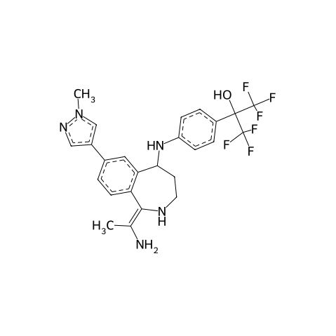 C/C(N)=C1/NCCC(Nc2ccc(C(O)(C(F)(F)F)C(F)(F)F)cc2)c2cc(-c3cnn(C)c3)ccc21